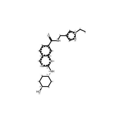 CCn1cc(CNC(=O)c2ccc3cnc(N[C@H]4CC[C@H](O)CC4)nc3c2)cn1